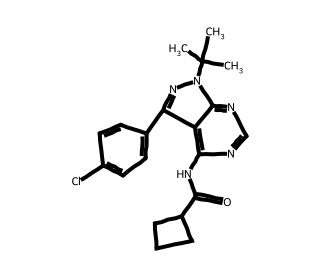 CC(C)(C)n1nc(-c2ccc(Cl)cc2)c2c(NC(=O)C3CCC3)ncnc21